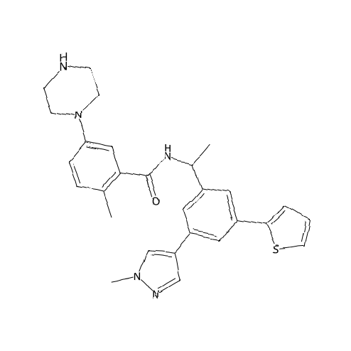 Cc1ccc(N2CCNCC2)cc1C(=O)NC(C)c1cc(-c2cnn(C)c2)cc(-c2cccs2)c1